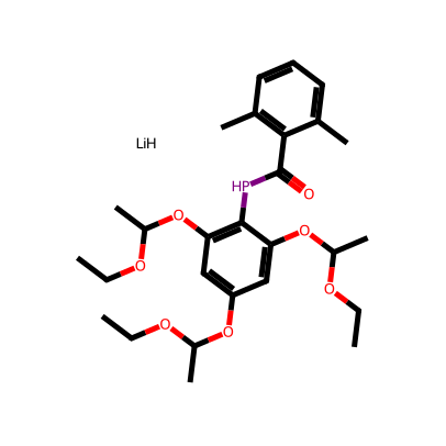 CCOC(C)Oc1cc(OC(C)OCC)c(PC(=O)c2c(C)cccc2C)c(OC(C)OCC)c1.[LiH]